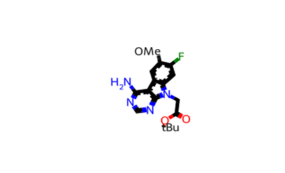 COc1cc2c3c(N)ncnc3n(CC(=O)OC(C)(C)C)c2cc1F